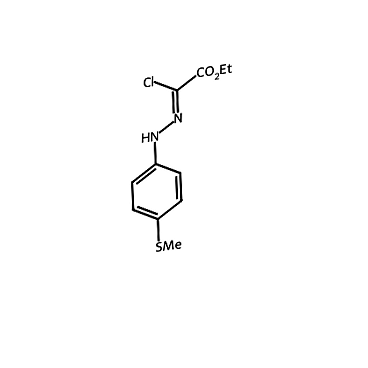 CCOC(=O)/C(Cl)=N/Nc1ccc(SC)cc1